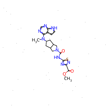 COC(=O)c1nsc(NC(=O)N2CC3CC(N(C)c4ncnc5[nH]ccc45)CC3C2)n1